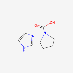 O=C(O)N1CCCC1.c1c[nH]cn1